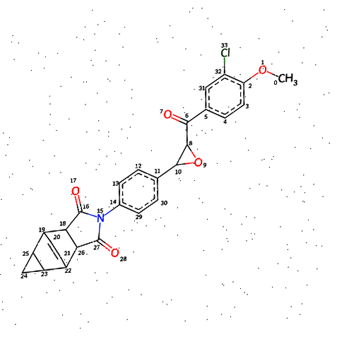 COc1ccc(C(=O)C2OC2c2ccc(N3C(=O)C4C5C=CC(C6CC56)C4C3=O)cc2)cc1Cl